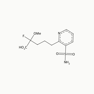 COC(F)(CCCc1ncccc1S(N)(=O)=O)C(=O)O